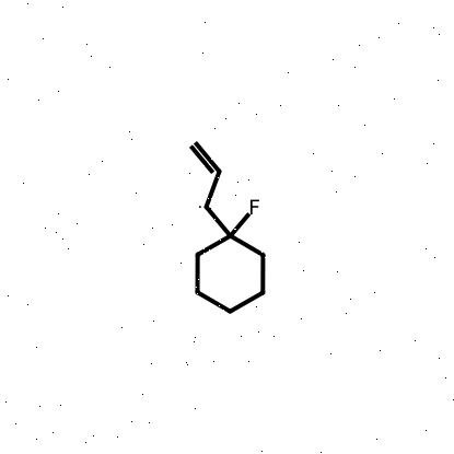 C=C[CH]C1(F)CCCCC1